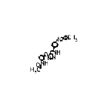 C=CC(=O)Nc1cccc(Oc2ncnc3[nH]c(-c4ccc(CN5CC6(CN(C)C6)C5)cc4)cc23)c1